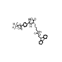 CC(C)(C)OC(=O)c1ccc(C(=O)N[C@@H](CCCCNC(=O)OCC2c3ccccc3-c3ccccc32)C(=O)O)cc1